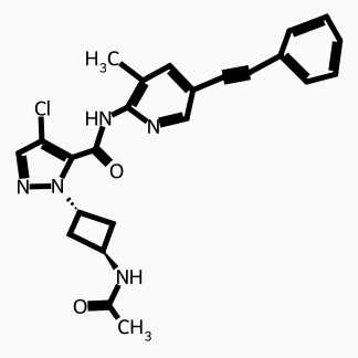 CC(=O)N[C@H]1C[C@H](n2ncc(Cl)c2C(=O)Nc2ncc(C#Cc3ccccc3)cc2C)C1